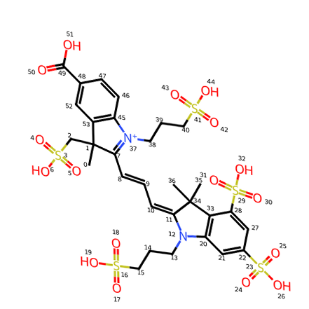 CC1(CS(=O)(=O)O)C(/C=C/C=C2/N(CCCS(=O)(=O)O)c3cc(S(=O)(=O)O)cc(S(=O)(=O)O)c3C2(C)C)=[N+](CCCS(=O)(=O)O)c2ccc(C(=O)O)cc21